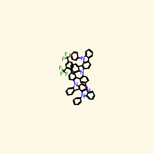 N#Cc1ccc(-n2c3ccccc3c3c2ccc2c4ccccc4n(-c4ccccc4)c23)c(-c2cc(-c3ccc(C(F)(F)F)cc3C(F)(F)F)ccc2-n2c3ccccc3c3c2ccc2c4ccccc4n(-c4ccccc4)c23)c1